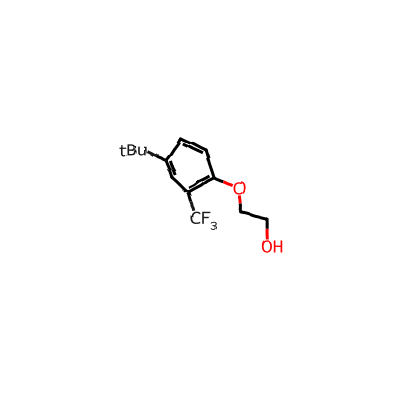 CC(C)(C)c1ccc(OCCO)c(C(F)(F)F)c1